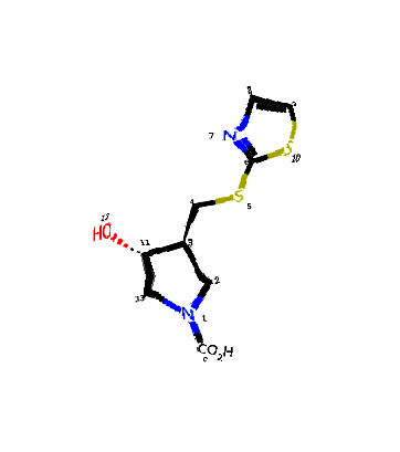 O=C(O)N1C[C@H](CSc2nccs2)[C@@H](O)C1